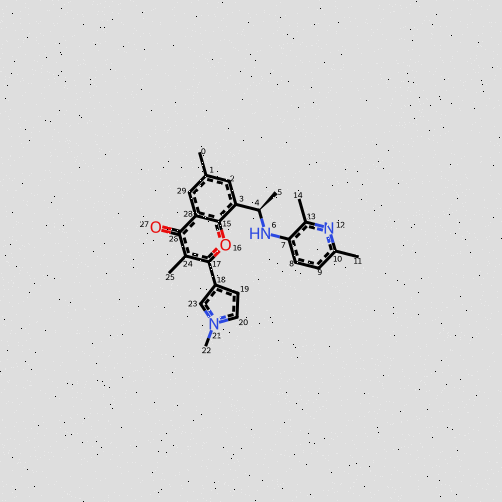 Cc1cc([C@@H](C)Nc2ccc(C)nc2C)c2oc(-c3ccn(C)c3)c(C)c(=O)c2c1